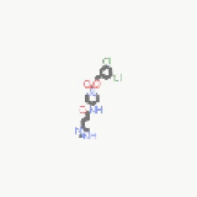 O=C(C=Cc1c[nH]cn1)NC1CCN(C(=O)OCc2cc(Cl)cc(Cl)c2)CC1